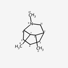 CC1C2CCCC(C1C)N(C)C2